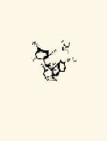 Cc1cc(C)c(-[n+]2cn3c(n2)CO[C@H]2Cc4ccc(N)cc4[C@H]23)c(C)c1.F[B-](F)(F)F